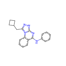 c1ccc(Nc2nc3nnc(CC4CCC4)n3c3ccccc23)cc1